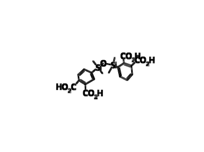 C[Si](C)(O[Si](C)(C)c1cccc(C(=O)O)c1C(=O)O)c1ccc(C(=O)O)c(C(=O)O)c1